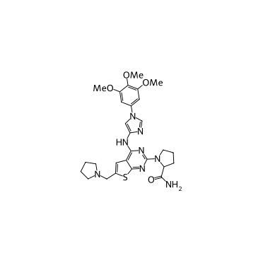 COc1cc(-n2cnc(Nc3nc(N4CCCC4C(N)=O)nc4sc(CN5CCCC5)cc34)c2)cc(OC)c1OC